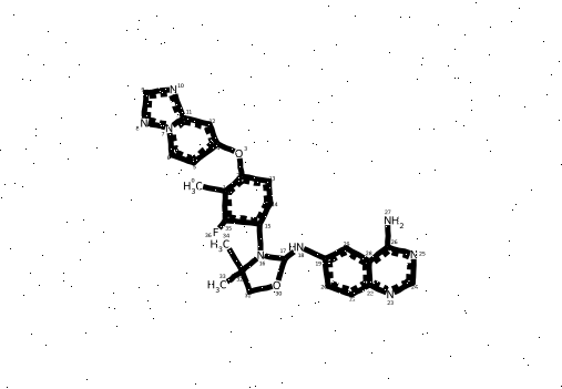 Cc1c(Oc2ccn3ncnc3c2)ccc(N2C(Nc3ccc4ncnc(N)c4c3)OCC2(C)C)c1F